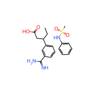 CCC(CC(=O)O)c1cccc(C(=N)N)c1.CS(=O)(=O)Nc1ccccc1